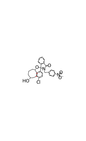 O=C1c2ccccc2C(OC2CCCC(O)CCC2)(c2ccc(Cl)cc2)N1Cc1ccc([N+](=O)[O-])cc1